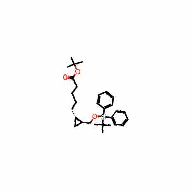 CC(C)(C)OC(=O)CCCC[C@H]1C[C@@H]1CO[Si](c1ccccc1)(c1ccccc1)C(C)(C)C